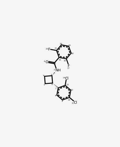 O=C(N[C@H]1CC[C@H]1c1ccc(Cl)cc1Cl)c1c(F)cccc1F